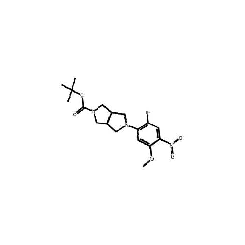 COc1cc(N2CC3CN(C(=O)OC(C)(C)C)CC3C2)c(Br)cc1[N+](=O)[O-]